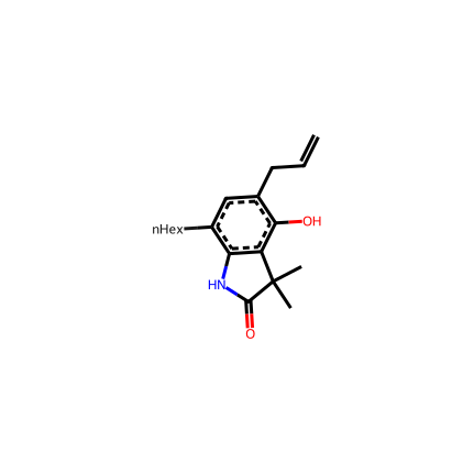 C=CCc1cc(CCCCCC)c2c(c1O)C(C)(C)C(=O)N2